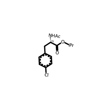 CC(=O)N[C@@H](Cc1ccc(Cl)cc1)C(=O)OC(C)C